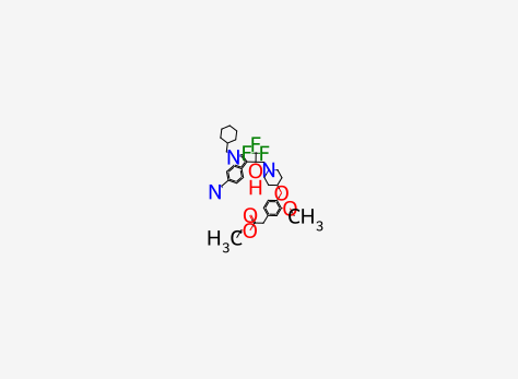 CCOC(=O)Cc1ccc(OC2CCN(CC(O)(c3cn(CC4CCCCC4)c4cc(C#N)ccc34)C(F)(F)F)CC2)c(OC)c1